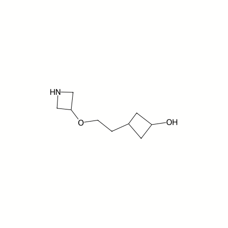 OC1CC(CCOC2CNC2)C1